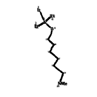 CC[Si](CC)(CC)OCCCCCCNC